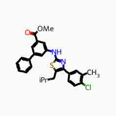 COC(=O)c1cc(Nc2nc(-c3ccc(Cl)c(C)c3)c(CC(C)C)s2)cc(-c2ccccc2)c1